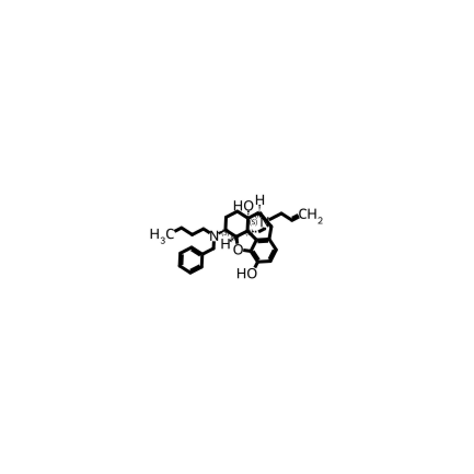 C=CCN1CC[C@]23c4c5ccc(O)c4O[C@H]2[C@@H](N(CCCC)Cc2ccccc2)CC[C@@]3(O)[C@H]1C5